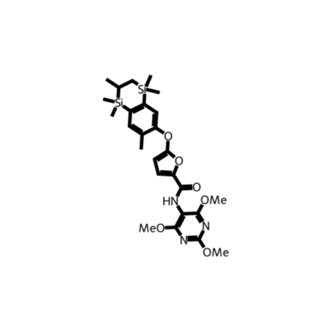 COc1nc(OC)c(NC(=O)c2ccc(Oc3cc4c(cc3C)[Si](C)(C)C(C)C[Si]4(C)C)o2)c(OC)n1